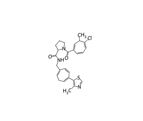 Cc1ncsc1C1=CCC=C(CNC(=O)C2CCCN2C(=O)C2=CC(C)C(Cl)=CC=C2)C=C1